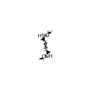 C=CO[SiH]=C1C=C1SSSSC1=CC1=[SiH]OC=C